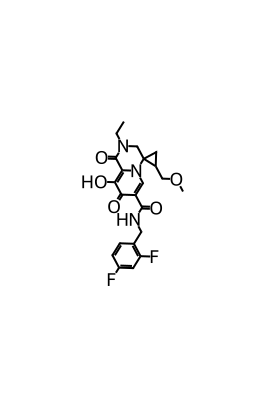 CCN1CC2(CC2COC)n2cc(C(=O)NCc3ccc(F)cc3F)c(=O)c(O)c2C1=O